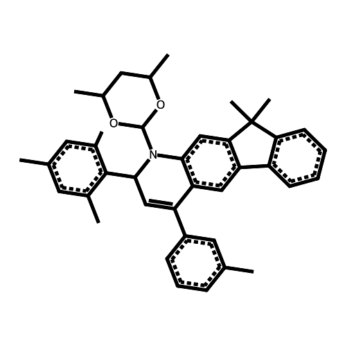 Cc1cccc(C2=CC(c3c(C)cc(C)cc3C)N(C3OC(C)CC(C)O3)c3cc4c(cc32)-c2ccccc2C4(C)C)c1